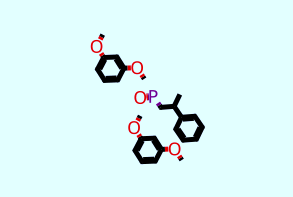 CC(CP=O)c1ccccc1.COc1cccc(OC)c1.COc1cccc(OC)c1